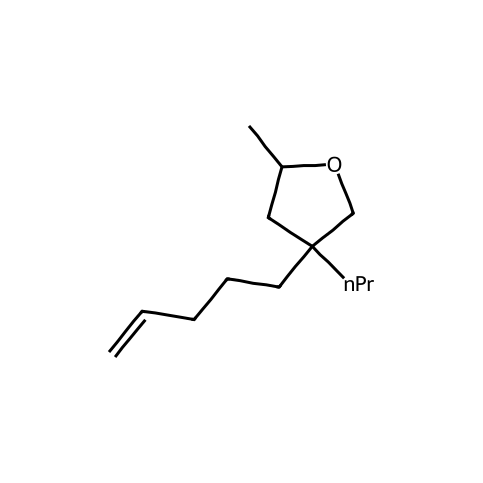 C=CCCCC1(CCC)COC(C)C1